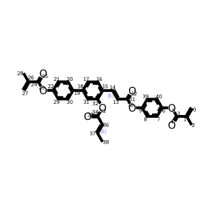 C=C(C)C(=O)Oc1ccc(OC(=O)/C=C/c2ccc(-c3ccc(OC(=O)C(=C)C)cc3)cc2OC(=O)/C=C/C)cc1